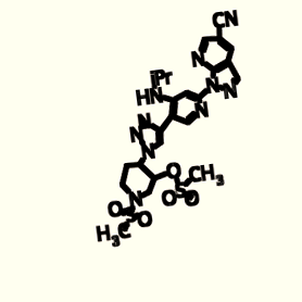 CC(C)Nc1cc(-n2ncc3cc(C#N)cnc32)ncc1-c1cn(C2CCN(S(C)(=O)=O)CC2OS(C)(=O)=O)nn1